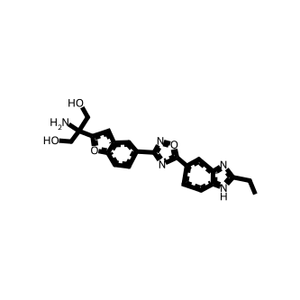 CCc1nc2cc(-c3nc(-c4ccc5oc(C(N)(CO)CO)cc5c4)no3)ccc2[nH]1